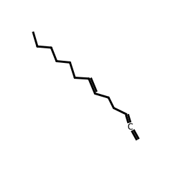 C=C=CCCC=CCCCCCC